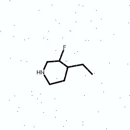 CCC1CCNCC1F